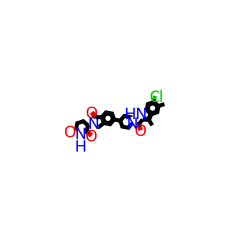 Cc1cc2c(C)c(C(=O)N3CCC(c4ccc5c(c4)CN(C4CCC(=O)NC4=O)C5=O)CC3)[nH]c2cc1Cl